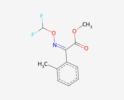 COC(=O)C(=NOC(F)F)c1ccccc1C